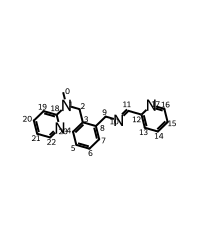 CN(Cc1ccccc1CN=Cc1ccccn1)c1ccccn1